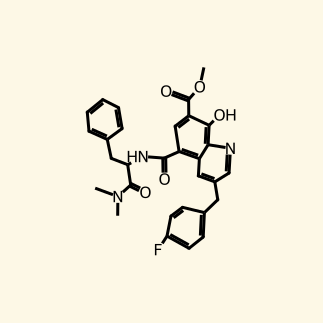 COC(=O)c1cc(C(=O)NC(Cc2ccccc2)C(=O)N(C)C)c2cc(Cc3ccc(F)cc3)cnc2c1O